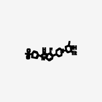 CCC1CC(N2CCC(c3ccc4nc(-c5ccc(S(C)(=O)=O)cc5)[nH]c4c3F)CC2)CC(C)N1